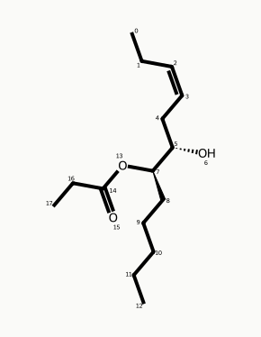 CC/C=C\C[C@H](O)[C@@H](CCCCC)OC(=O)CC